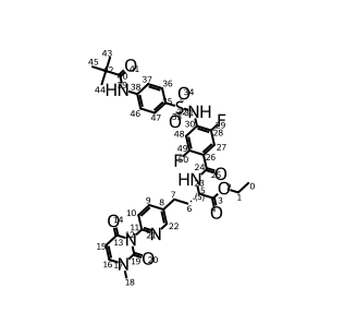 CCOC(=O)[C@H](CCc1ccc(-n2c(=O)ccn(C)c2=O)nc1)NC(=O)c1cc(F)c(NS(=O)(=O)c2ccc(NC(=O)C(C)(C)C)cc2)cc1F